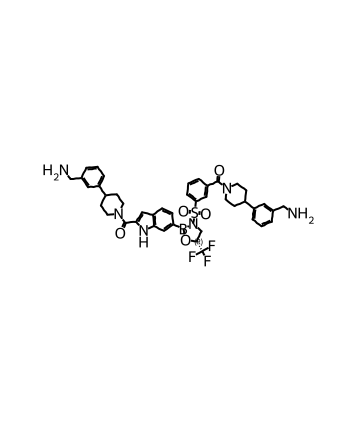 NCc1cccc(C2CCN(C(=O)c3cccc(S(=O)(=O)N4C[C@H](C(F)(F)F)OB4c4ccc5cc(C(=O)N6CCC(c7cccc(CN)c7)CC6)[nH]c5c4)c3)CC2)c1